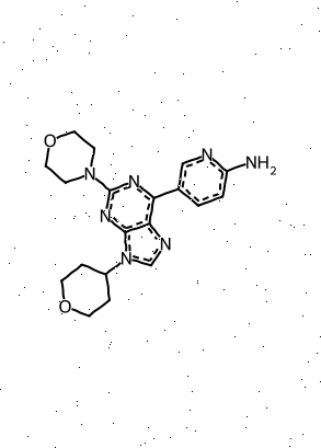 Nc1ccc(-c2nc(N3CCOCC3)nc3c2ncn3C2CCOCC2)cn1